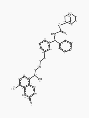 O=C(NC(c1ccccc1)c1cccc(CCNCC(O)c2ccc(O)c3[nH]c(=O)ccc23)c1)OC1CN2CCC1CC2